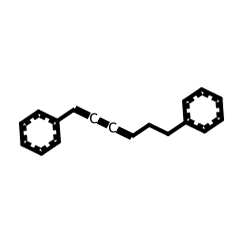 C(=C=Cc1ccccc1)=CCCc1ccccc1